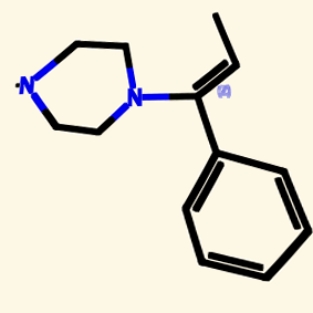 C/C=C(/c1ccccc1)N1CC[N]CC1